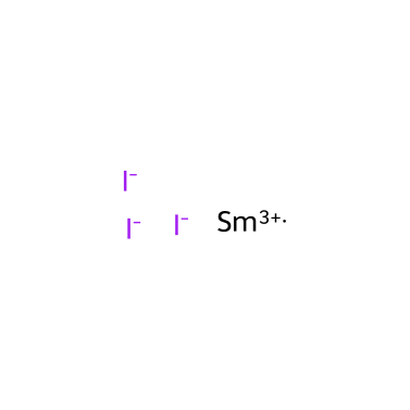 [I-].[I-].[I-].[Sm+3]